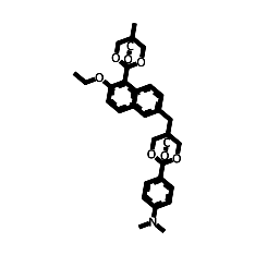 CCOc1ccc2cc(CC34COC(c5ccc(N(C)C)cc5)(OC3)OC4)ccc2c1C12OCC(C)(CO1)CO2